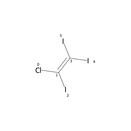 ClC(I)=C(I)I